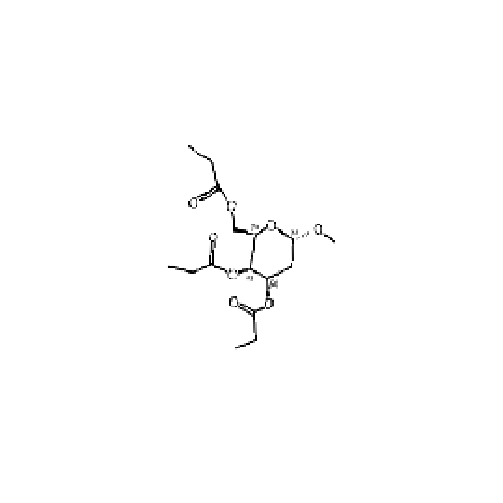 CCC(=O)OC[C@H]1O[C@H](OC)C[C@@H](OC(=O)CC)[C@H]1OC(=O)CC